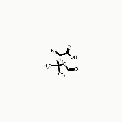 CC(C)(C)OC=O.O=C(O)CBr